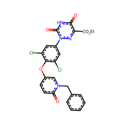 CCOC(=O)c1nn(-c2cc(Cl)c(Oc3ccc(=O)n(Cc4ccccc4)c3)c(Cl)c2)c(=O)[nH]c1=O